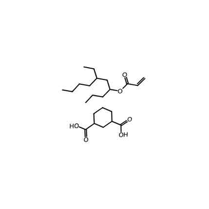 C=CC(=O)OC(CCC)CC(CC)CCCC.O=C(O)C1CCCC(C(=O)O)C1